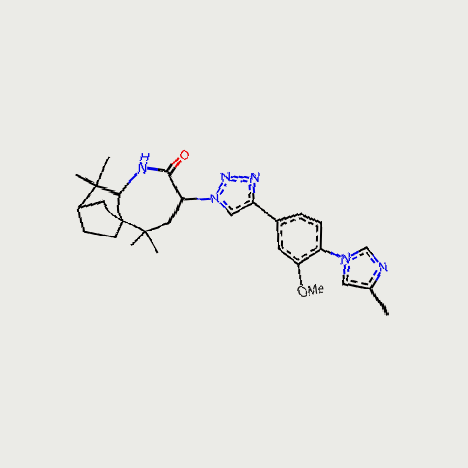 COc1cc(-c2cn(C3CC(C)(C)C45CCC(C4)C(C)(C)C5NC3=O)nn2)ccc1-n1cnc(C)c1